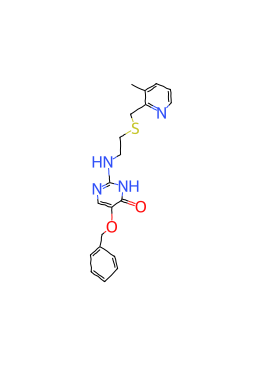 Cc1cccnc1CSCCNc1ncc(OCc2ccccc2)c(=O)[nH]1